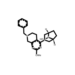 COc1nc2c(c(N3C[C@H]4CC[C@@H](C3)N4C(=O)O)n1)CCN(Cc1ccccc1)C2